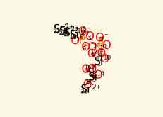 O=P([O-])([O-])[O-].O=P([O-])([O-])[O-].O=[Si]([O-])[O-].O=[Si]([O-])[O-].[Sr+2].[Sr+2].[Sr+2].[Sr+2].[Sr+2]